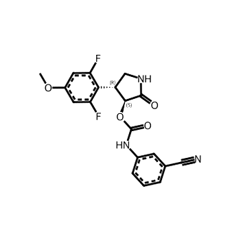 COc1cc(F)c([C@@H]2CNC(=O)[C@H]2OC(=O)Nc2cccc(C#N)c2)c(F)c1